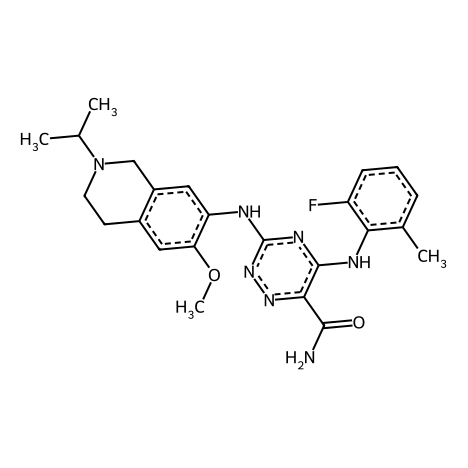 COc1cc2c(cc1Nc1nnc(C(N)=O)c(Nc3c(C)cccc3F)n1)CN(C(C)C)CC2